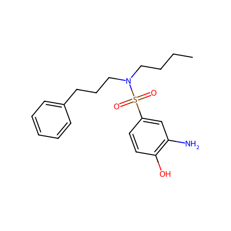 CCCCN(CCCc1ccccc1)S(=O)(=O)c1ccc(O)c(N)c1